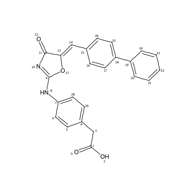 O=C(O)Cc1ccc(NC2=NC(=O)C(=Cc3ccc(-c4ccccc4)cc3)O2)cc1